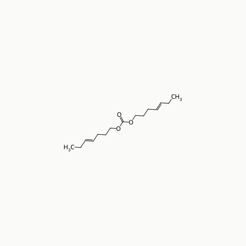 CCC=CCCCOC(=O)OCCCC=CCC